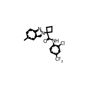 Cc1ccc2nn(C3(C(=O)Nc4ccc(C(F)(F)F)cc4Cl)CCC3)cc2c1